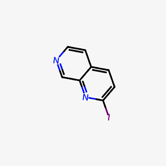 Ic1ccc2ccncc2n1